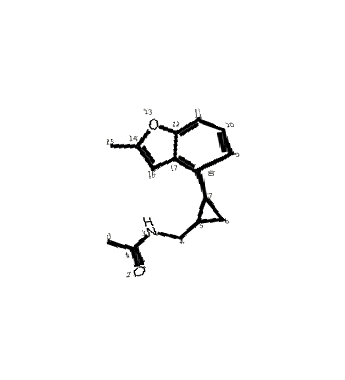 CC(=O)NCC1CC1c1cccc2oc(C)cc12